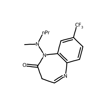 CCCN(C)N1C(=O)CC=Nc2ccc(C(F)(F)F)cc21